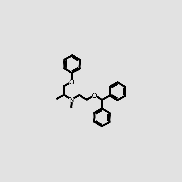 CC(COc1ccccc1)N(C)CCOC(c1ccccc1)c1ccccc1